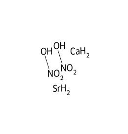 O=[N+]([O-])O.O=[N+]([O-])O.[CaH2].[SrH2]